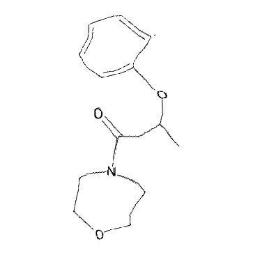 CC(Oc1[c]cccc1)C(=O)N1CCOCC1